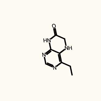 CCc1ncnc2c1NCC(=O)N2